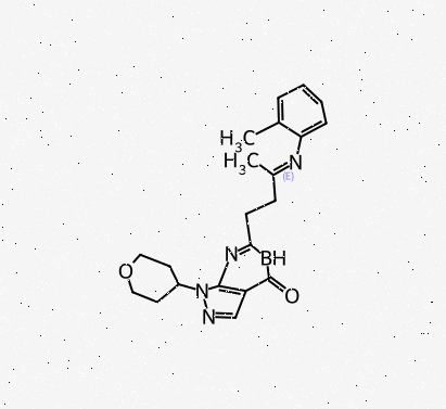 C/C(CCC1=Nc2c(cnn2C2CCOCC2)C(=O)B1)=N\c1ccccc1C